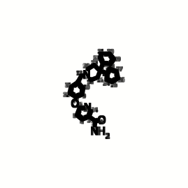 NC(=O)c1ccc(Oc2ccc(CN3CCC(c4ccccc4)(c4ccccc4)CC3)cc2)nc1